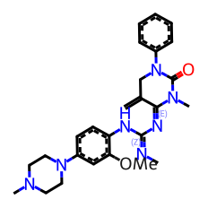 C=C1CN(c2ccccc2)C(=O)N(C)/C1=N/C(=N\C)Nc1ccc(N2CCN(C)CC2)cc1OC